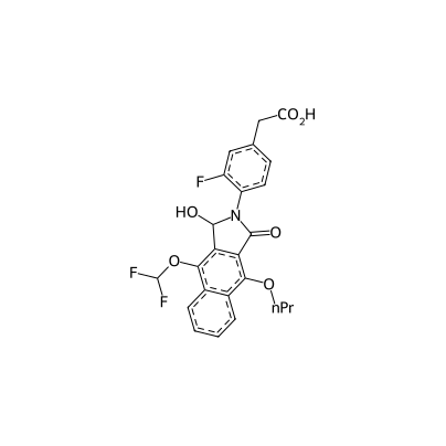 CCCOc1c2c(c(OC(F)F)c3ccccc13)C(O)N(c1ccc(CC(=O)O)cc1F)C2=O